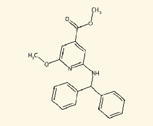 COC(=O)c1cc(NC(c2ccccc2)c2ccccc2)nc(OC)c1